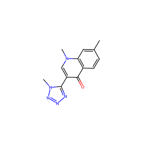 Cc1ccc2c(=O)c(-c3nnnn3C)cn(C)c2c1